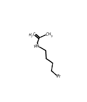 C=C(C)NCCCCC(C)C